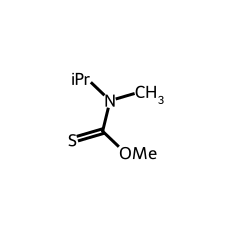 COC(=S)N(C)C(C)C